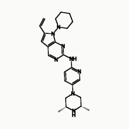 C=Cc1cc2cnc(Nc3ccc(N4C[C@@H](C)N[C@@H](C)C4)cn3)nc2n1N1CCCCC1